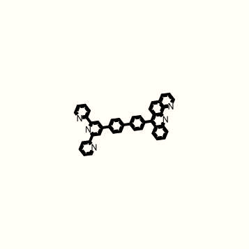 c1ccc(-c2cc(-c3ccc(-c4ccc(-c5c6ccccc6nc6c5ccc5cccnc56)cc4)cc3)cc(-c3ccccn3)n2)nc1